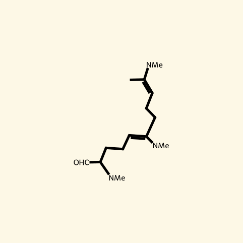 CNC(C)=CCCC(=CCCC(C=O)NC)NC